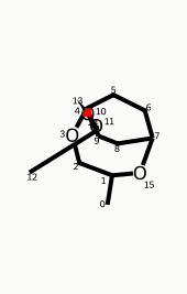 CC1COC23CCC(CC2OC(C)CO3)O1